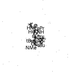 CCC[C@H](NC(=O)[C@@H]1C[C@@]2(CN1C(=O)[C@@H](NC(=O)[C@@H](NC)C(C)(C)C)C(C)(C)C)C(C)(C)C21CCC1)C(O)C(=O)NC1CC1